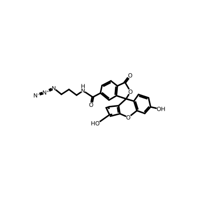 [N-]=[N+]=NCCCNC(=O)c1ccc2c(c1)C1(OC2=O)c2ccc(O)cc2Oc2cc(O)ccc21